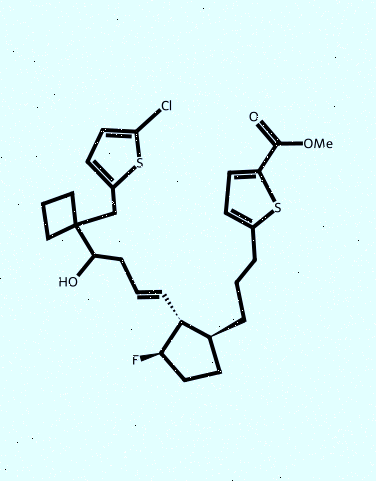 COC(=O)c1ccc(CCC[C@H]2CC[C@@H](F)[C@@H]2/C=C/CC(O)C2(Cc3ccc(Cl)s3)CCC2)s1